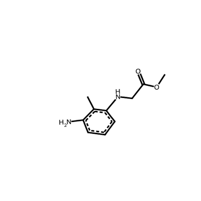 COC(=O)CNc1cccc(N)c1C